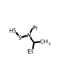 CCC(C)N(SS)C(C)C